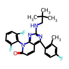 Cc1cc(F)ccc1-c1nc(NCC(C)(C)C)nc2c1ccc(=O)n2-c1c(F)cccc1F